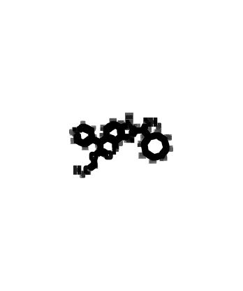 CCOC(=O)C(c1ccncc1)c1ccc2[nH]c(C(N)C3CCCCCCC3)nc2c1F